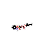 CCC/C=C(\C)COC(=O)OCCP(=O)(NC)Oc1ccccc1